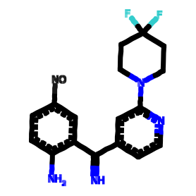 N=C(c1ccnc(N2CCC(F)(F)CC2)c1)c1cc(N=O)ccc1N